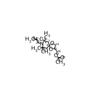 C=CCN1C(C)(C)CC2(CC1(C)C)OCC(COC(C)=O)O2